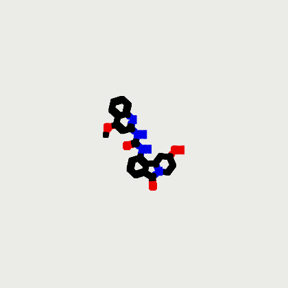 COc1cc(NC(=O)Nc2cccc3c2C2CC(O)CCN2C3=O)nc2ccccc12